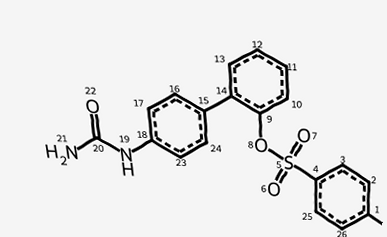 Cc1ccc(S(=O)(=O)Oc2ccccc2-c2ccc(NC(N)=O)cc2)cc1